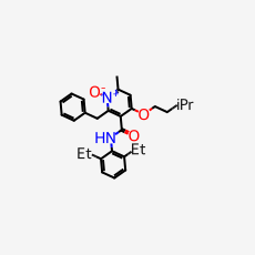 CCc1cccc(CC)c1NC(=O)c1c(OCCC(C)C)cc(C)[n+]([O-])c1Cc1ccccc1